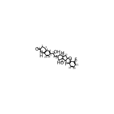 O=C1CCc2cc([C@H](O)CN3C[C@H]4C[C@H](Oc5c(F)cccc5F)C[C@@]4(O)C3)ccc2N1